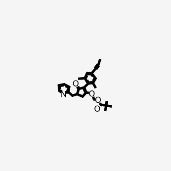 CC#Cc1cc(C)c(C2=C(OCOC(=O)C(C)(C)C)CC(Cc3ccccn3)C2=O)c(C)c1